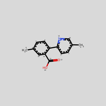 Cc1ccc(-c2ccc(C)cc2C(=O)O)nc1